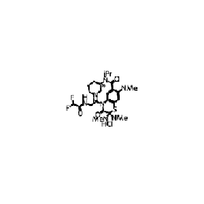 CNc1cc2c(cc1C(=O)N(C(C)C)[C@@H]1CCCNC1)N(CCNC(=O)C(F)F)C(=O)C(NC)(NC)S2.Cl